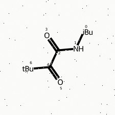 CCC(C)NC(=O)C(=O)C(C)(C)C